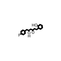 O=C(CCc1ccccc1O)CC(O)Cc1ccc(F)cc1